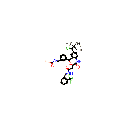 CC(C)(C)C(Cl)c1ccc2c(c1)C(c1cccc(CNC(=O)O)c1)OC(CC(=O)NCc1ccccc1C(F)(F)F)C(=O)N2